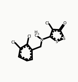 CN(Cc1cccc(Cl)c1Cl)c1ssc(=O)c1Cl